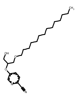 CCCCCCCCCCCCCCOCC(CO)Oc1ccc(C#N)nc1